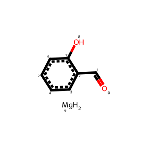 O=Cc1ccccc1O.[MgH2]